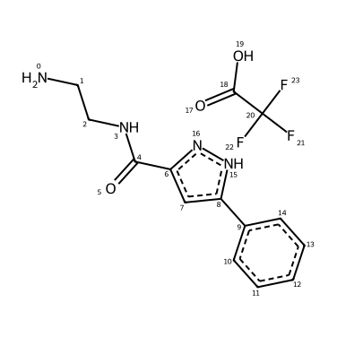 NCCNC(=O)c1cc(-c2ccccc2)[nH]n1.O=C(O)C(F)(F)F